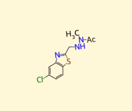 CC(=O)N(C)NCc1nc2cc(Cl)ccc2s1